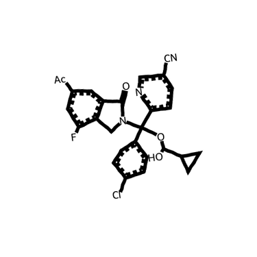 CC(=O)c1cc(F)c2c(c1)C(=O)N(C(OC(O)C1CC1)(c1ccc(Cl)cc1)c1ccc(C#N)cn1)C2